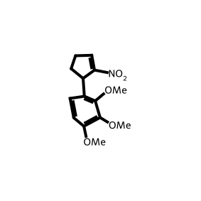 COc1ccc(C2CCC=C2[N+](=O)[O-])c(OC)c1OC